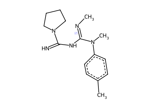 C/N=C(/NC(=N)N1CCCC1)N(C)c1ccc(C)cc1